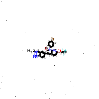 CN/C=C1/C=C(c2cc3ccc(OCC(F)(F)F)nc3n(-c3ccc(Br)cc3)c2=O)C=CC1=N